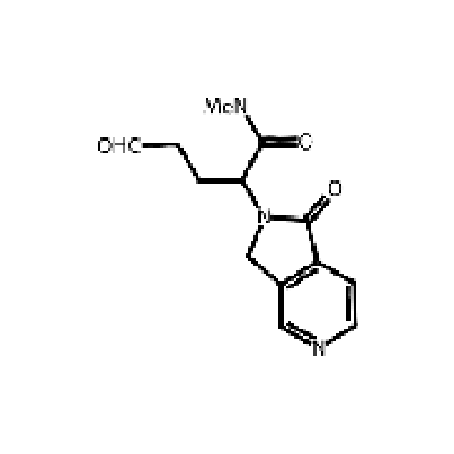 CNC(=O)C(CCC=O)N1Cc2cnccc2C1=O